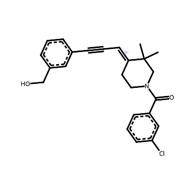 CC1(C)CN(C(=O)c2cccc(Cl)c2)CC/C1=C\C#Cc1cccc(CO)c1